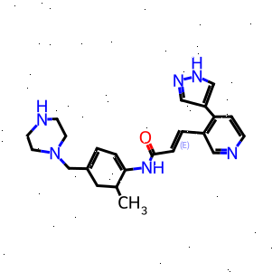 CC1CC(CN2CCNCC2)=CC=C1NC(=O)/C=C/c1cnccc1-c1cn[nH]c1